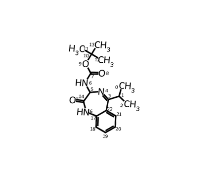 CC(C)C1=NC(NC(=O)OC(C)(C)C)C(=O)Nc2ccccc21